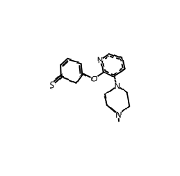 CN1CCN(c2cccnc2OC2=CC=CC(=S)C2)CC1